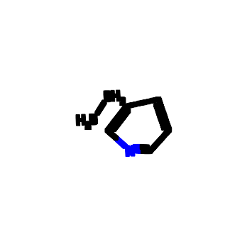 BB.c1ccncc1